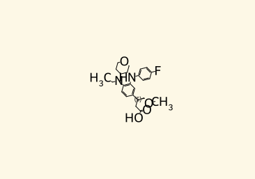 CCN(c1ccc([C@@H](COC)CC(=O)O)cc1Nc1ccc(F)cc1)C1CCOCC1